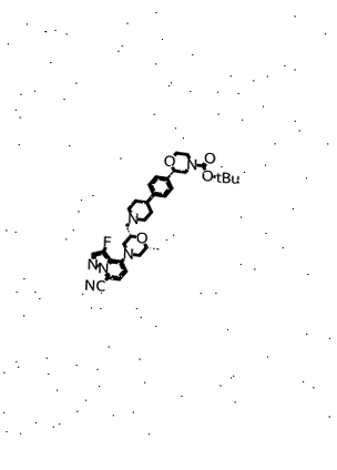 C[C@@H]1CN(c2ccc(C#N)n3ncc(F)c23)C[C@H](CN2CCC(c3ccc([C@@H]4CN(C(=O)OC(C)(C)C)CCO4)cc3)CC2)O1